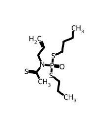 C=CCN(C(C)=S)P(=O)(SCCC)SCCCC